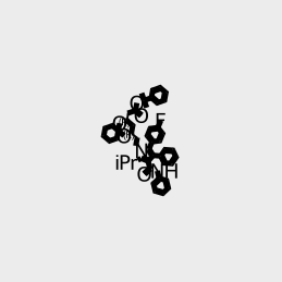 CC(C)c1c(C(=O)Nc2ccccc2)c(-c2ccccc2)c(-c2ccc(F)cc2)n1CC[C@@H]1C[C@H](CC(=O)OC(C)(C)c2ccccc2)OC2(CCCCC2)O1